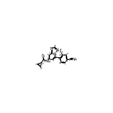 N#Cc1ccc(-c2cc(NC(=O)C3CC3)cc3ncnn23)c(F)c1